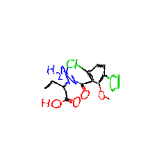 CCC(C(=O)O)N(N)C(=O)c1c(Cl)ccc(Cl)c1OC